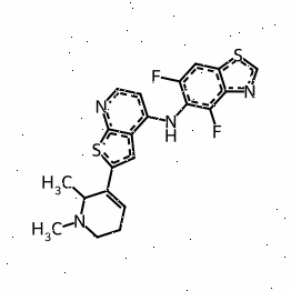 CC1C(c2cc3c(Nc4c(F)cc5scnc5c4F)ccnc3s2)=CCCN1C